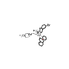 COc1nc2ccc(Br)cc2cc1C(c1ccccc1)C(O)(CCCCN1CCCN(C)CC1)c1ccc2ccccc2c1